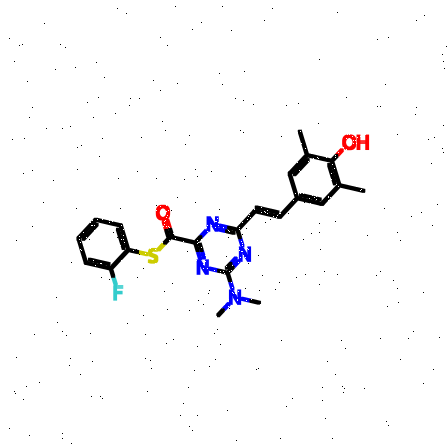 Cc1cc(/C=C/c2nc(C(=O)Sc3ccccc3F)nc(N(C)C)n2)cc(C)c1O